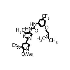 CCOc1cc(-c2ncc(NC(=O)Nc3cc(OCCN(C)C)cc(C(F)(F)F)c3)c(C)n2)cnc1OC